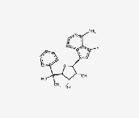 CC(O)(c1ccccc1)[C@H]1O[C@@H](n2cc(F)c3c(N)ncnc32)[C@H](O)[C@@H]1O